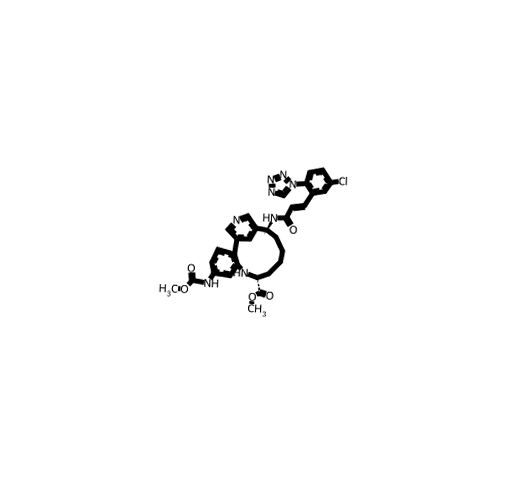 COC(=O)Nc1ccc2c(c1)N[C@@H](C(=O)OC)CCCC[C@H](NC(=O)/C=C/c1cc(Cl)ccc1-n1cnnn1)c1cncc-2c1